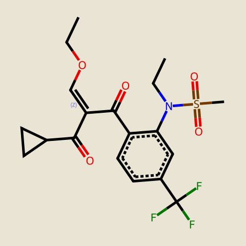 CCO/C=C(\C(=O)c1ccc(C(F)(F)F)cc1N(CC)S(C)(=O)=O)C(=O)C1CC1